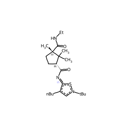 CCCCc1cn(C(C)(C)C)s/c1=N\C(=O)[C@@H]1CC[C@](C)(C(=O)NCC)C1(C)C